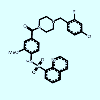 COc1cc(C(=O)N2CCN(Cc3ccc(Cl)cc3F)CC2)ccc1NS(=O)(=O)c1cccc2cccnc12